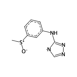 C[S+]([O-])c1cccc(NC2=NN=C[N]2)c1